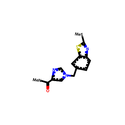 CNC(=O)c1cn(Cc2ccc3nc(SC)sc3c2)cn1